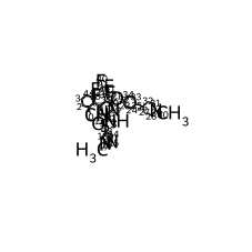 Cc1ccccc1-c1nc(N[S+]([O-])c2cnn(C)c2)nc(Oc2ccc(C3CCN(C)CC3)cc2)c1C(F)(F)C(F)(F)F